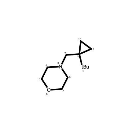 CC(C)(C)C1(CN2CCOCC2)CC1